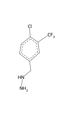 NNCc1ccc(Cl)c(C(F)(F)F)c1